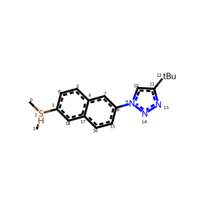 C[SH](C)c1ccc2cc(-n3cc(C(C)(C)C)nn3)ccc2c1